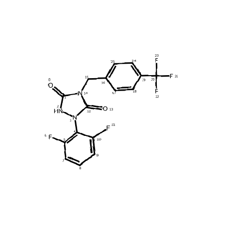 O=c1[nH]n(-c2c(F)cccc2F)c(=O)n1Cc1ccc(C(F)(F)F)cc1